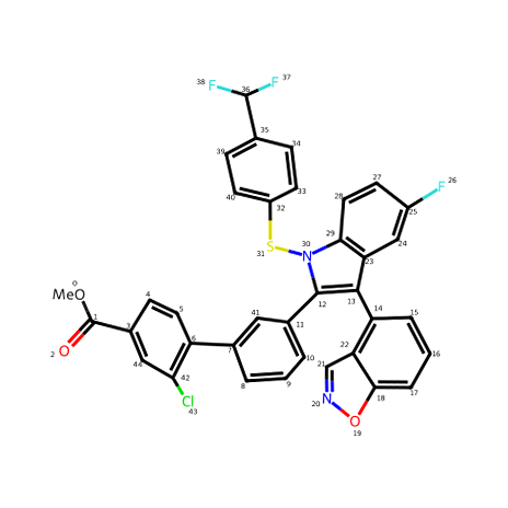 COC(=O)c1ccc(-c2cccc(-c3c(-c4cccc5oncc45)c4cc(F)ccc4n3Sc3ccc(C(F)F)cc3)c2)c(Cl)c1